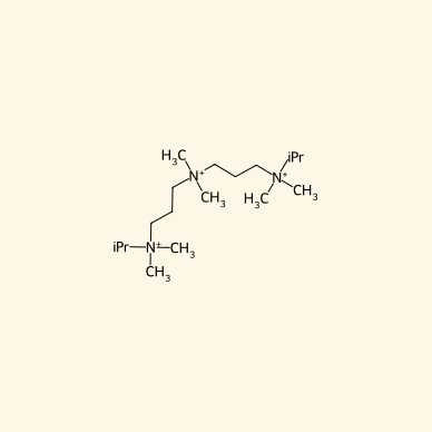 CC(C)[N+](C)(C)CCC[N+](C)(C)CCC[N+](C)(C)C(C)C